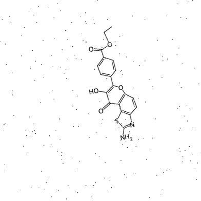 CCOC(=O)c1ccc(-c2oc3ccc4nc(N)sc4c3c(=O)c2O)cc1